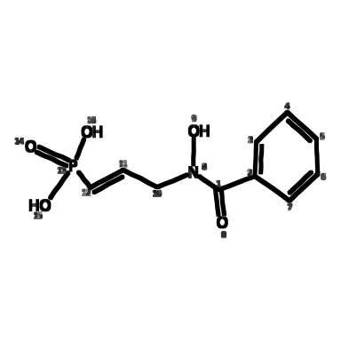 O=C(c1ccccc1)N(O)C/C=C/P(=O)(O)O